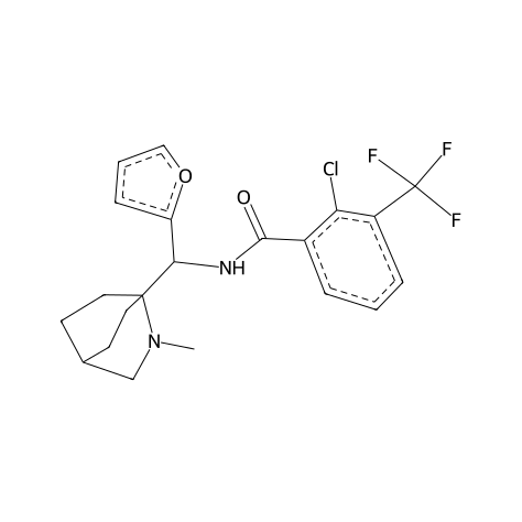 CN1CC2CCC1(C(NC(=O)c1cccc(C(F)(F)F)c1Cl)c1ccco1)CC2